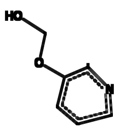 OCOc1[c]nccc1